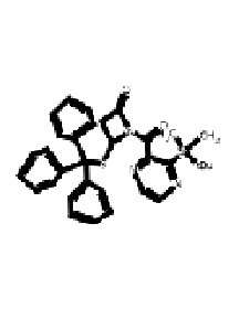 CC(C)(C)[Si](C)(C)c1nccnc1C(=O)N1C(=O)CC1SC(c1ccccc1)(c1ccccc1)c1ccccc1